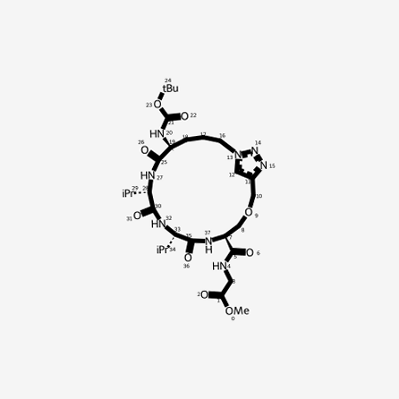 COC(=O)CNC(=O)[C@@H]1COCc2cn(nn2)CCC[C@H](NC(=O)OC(C)(C)C)C(=O)N[C@@H](C(C)C)C(=O)N[C@@H](C(C)C)C(=O)N1